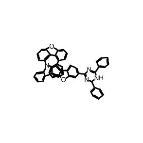 c1ccc(C2=NC(c3ccc4c(c3)oc3cccc(-c5cccc6oc7cccc(-n8c9ccccc9c9ccccc98)c7c56)c34)=NC(c3ccccc3)N2)cc1